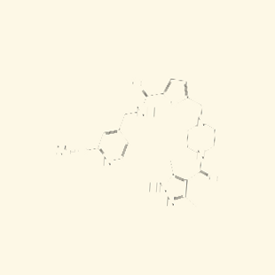 COc1cc(CNC(=O)c2ccc(CN3CCN(C(=O)c4c(C)n[nH]c4C)CC3)s2)ccn1